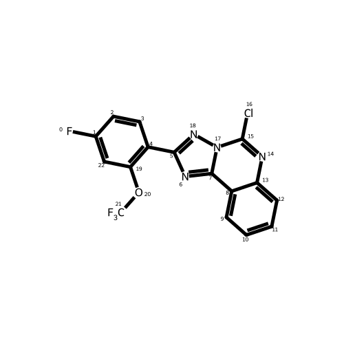 Fc1ccc(-c2nc3c4ccccc4nc(Cl)n3n2)c(OC(F)(F)F)c1